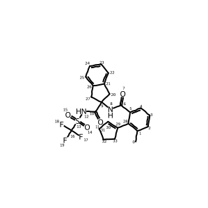 Cc1cccc(C(=O)NC2(C(=O)NS(=O)(=O)C(F)(F)F)Cc3ccccc3C2)c1C1=CCCC1